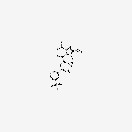 C=C(CN(C(=O)c1c(C(F)F)nn(C)c1F)C1CC1)c1cccc(S(=O)(=O)CC)c1